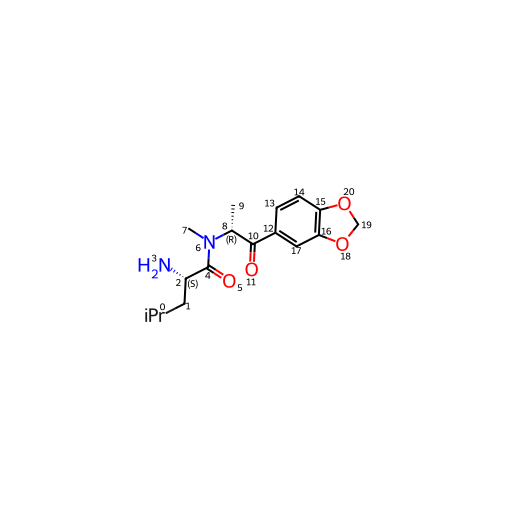 CC(C)C[C@H](N)C(=O)N(C)[C@H](C)C(=O)c1ccc2c(c1)OCO2